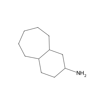 NC1CCC2CCCCCC2C1